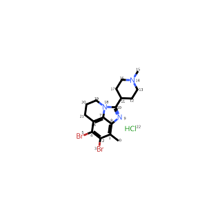 Cc1c(Br)c(Br)c2c3c1nc(C1CCN(C)CC1)n3CCC2.Cl